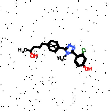 CC(O)CCCC12CCC(c3nnc(-c4ccc(O)cc4Cl)n3C)(CC1)CC2